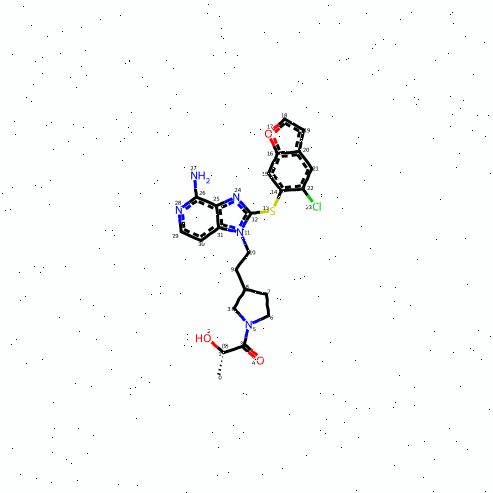 C[C@H](O)C(=O)N1CCC(CCn2c(Sc3cc4occc4cc3Cl)nc3c(N)nccc32)C1